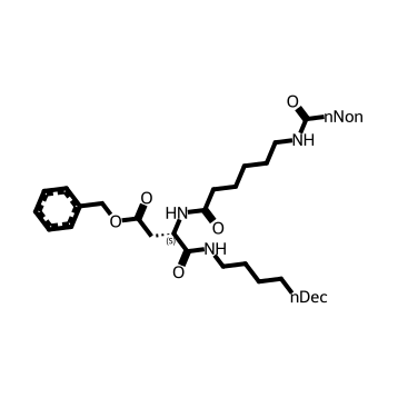 CCCCCCCCCCCCCCNC(=O)[C@H](CC(=O)OCc1ccccc1)NC(=O)CCCCCNC(=O)CCCCCCCCC